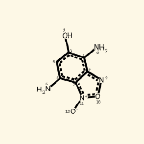 Nc1c(O)cc(N)c2c1no[n+]2[O-]